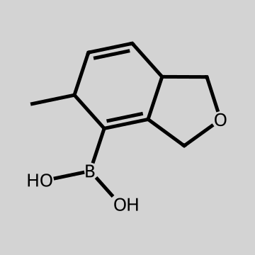 CC1C=CC2COCC2=C1B(O)O